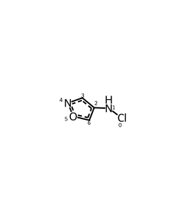 ClNc1cnoc1